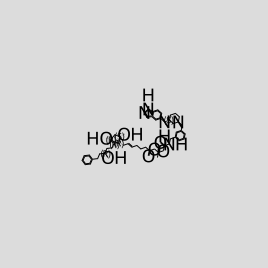 CC(OC(=O)CCCC=CC[C@@H]1[C@@H](CC[C@@H](O)CCc2ccccc2)[C@H](O)C[C@@H]1O)OC(=O)NCc1cccc(CN2CCC[C@H](Nc3ccc4[nH]ncc4c3)C2)c1